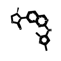 Cc1cc(Nc2ncc3ccc(N4C(=O)OC[C@@H]4C)cc3n2)n(C)n1